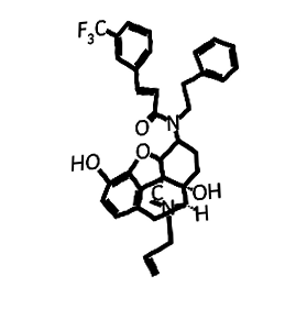 C=CCN1CC[C@]23c4c5ccc(O)c4OC2C(N(CCc2ccccc2)C(=O)/C=C/c2cccc(C(F)(F)F)c2)CC[C@@]3(O)[C@H]1C5